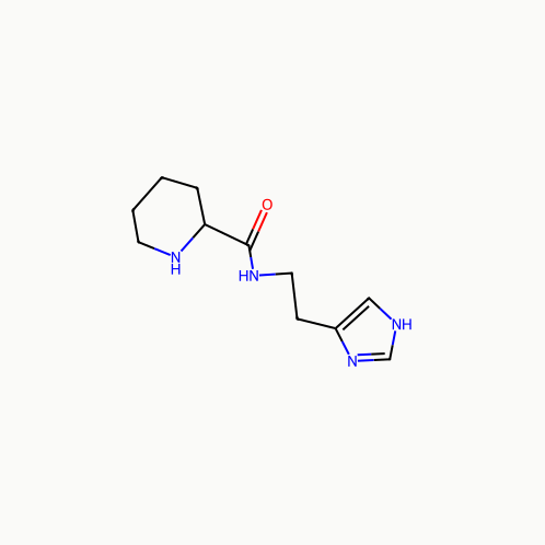 O=C(NCCc1c[nH]cn1)C1CCCCN1